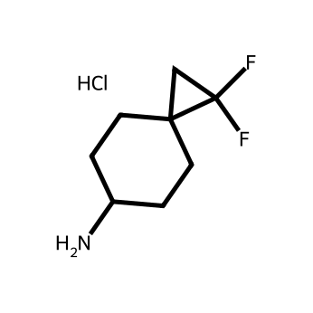 Cl.NC1CCC2(CC1)CC2(F)F